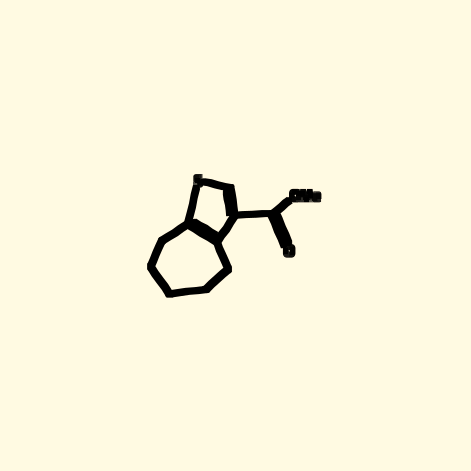 COC(=O)c1csc2c1CCCCC2